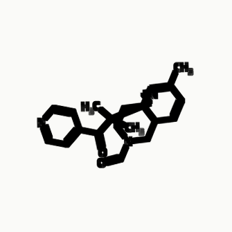 CC1=C2N=CC(C(C)(C)C(=O)c3ccncc3)C23CCN(C=O)CC3C=C1